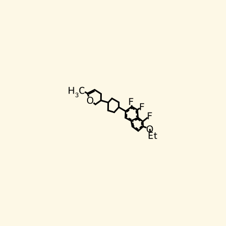 CCOc1ccc2cc(C3CCC(C4CC=C(C)OC4)CC3)c(F)c(F)c2c1F